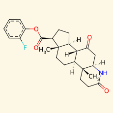 C[C@]12CCC(=O)N[C@@H]1CC(=O)[C@@H]1[C@@H]2CC[C@]2(C)[C@@H](C(=O)Oc3ccccc3F)CC[C@@H]12